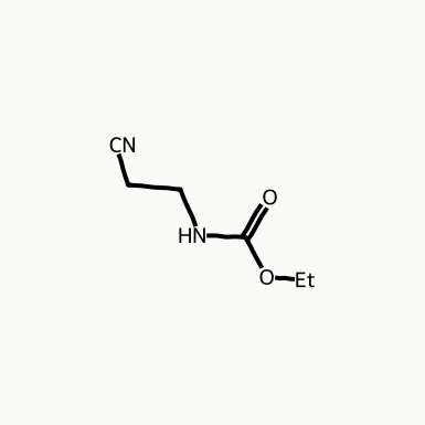 CCOC(=O)NCCC#N